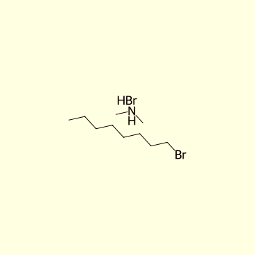 Br.CCCCCCCCBr.CNC